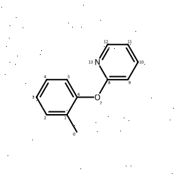 Cc1ccccc1Oc1cc[c]cn1